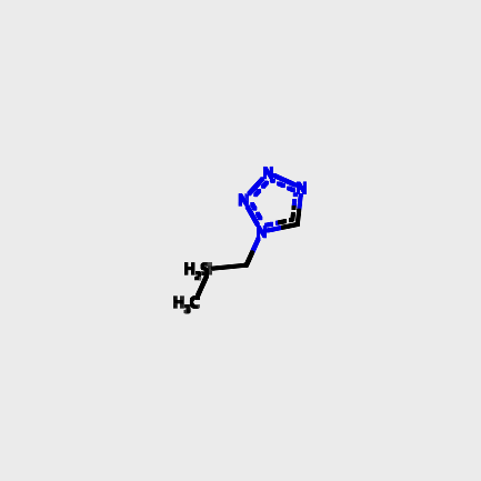 C[SiH2]Cn1cnnn1